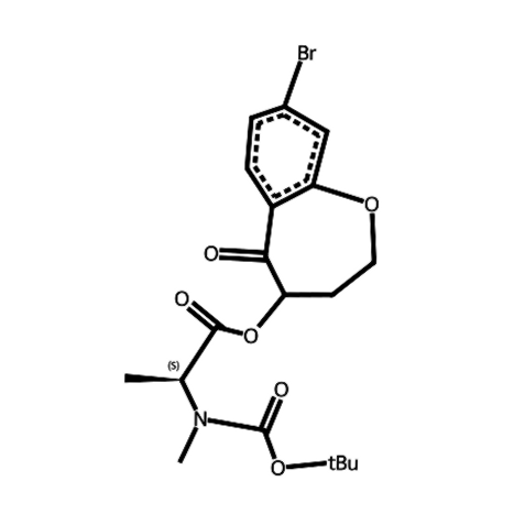 C[C@@H](C(=O)OC1CCOc2cc(Br)ccc2C1=O)N(C)C(=O)OC(C)(C)C